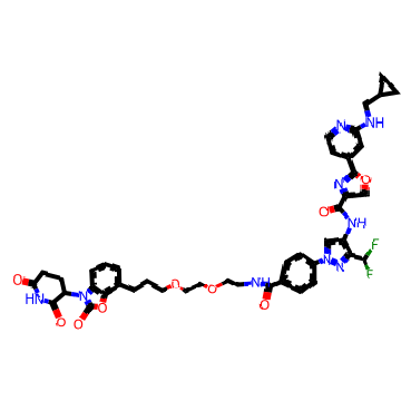 O=C1CCC(n2c(=O)oc3c(CCCOCCOCCNC(=O)c4ccc(-n5cc(NC(=O)c6coc(-c7ccnc(NCC8CC8)c7)n6)c(C(F)F)n5)cc4)cccc32)C(=O)N1